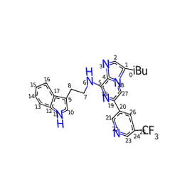 CCC(C)c1cnc2c(NCCc3c[nH]c4ccccc34)nc(-c3cncc(C(F)(F)F)c3)cn12